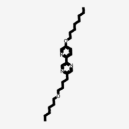 CCCCCCCCOc1ccc(-c2cnc(CCCCOCCCCCC)cn2)nc1